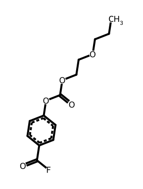 CCCOCCOC(=O)Oc1ccc(C(=O)F)cc1